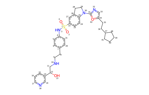 O=S(=O)(Nc1ccc(CCNCC(O)c2cccnc2)cc1)c1ccc2c(c1)CCN2c1ncc(CCC2CCCC2)o1